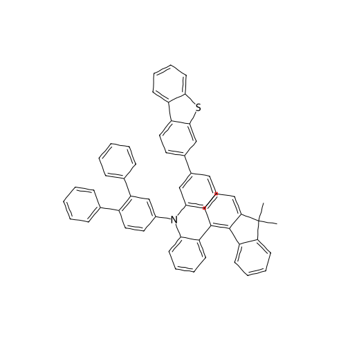 CC1(C)c2ccccc2-c2c(-c3ccccc3N(c3cccc(-c4ccc5c(c4)sc4ccccc45)c3)c3ccc(-c4ccccc4)c(-c4ccccc4)c3)cccc21